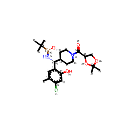 Cc1cc([C@H](N[S@@+]([O-])C(C)(C)C)C2CCN(C(=O)C3COC(C)(C)O3)CC2)c(O)cc1Cl